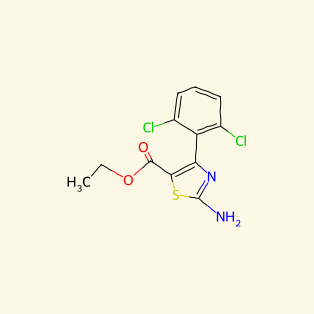 CCOC(=O)c1sc(N)nc1-c1c(Cl)cccc1Cl